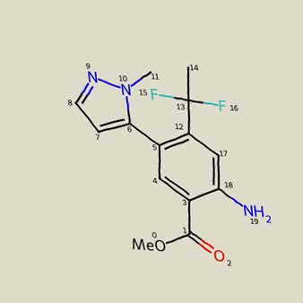 COC(=O)c1cc(-c2ccnn2C)c(C(C)(F)F)cc1N